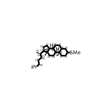 CSC1CC[C@@]2(C)C(CC[C@H]3[C@@H]4CC[C@H]([C@H](C)CCCC(C)C)[C@@]4(C)CC[C@@H]32)C1